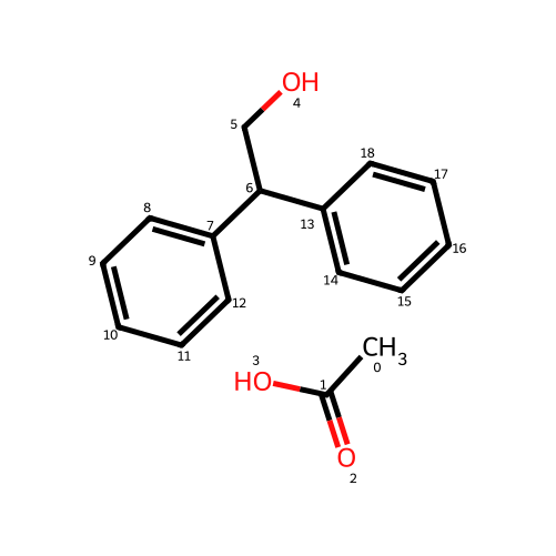 CC(=O)O.OCC(c1ccccc1)c1ccccc1